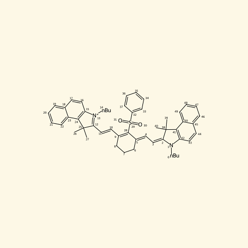 CCCCN1/C(=C/C=C2\CCCC(/C=C/C3=[N+](CCCC)c4ccc5ccccc5c4C3(C)C)=C2S(=O)(=O)c2ccccc2)C(C)(C)c2c1ccc1ccccc21